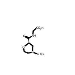 CCCCCCN1CCO[C@@H](C(=O)NCC(=O)O)C1